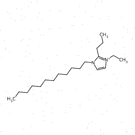 CCCCCCCCCCCCn1cc[n+](CC)c1CCC